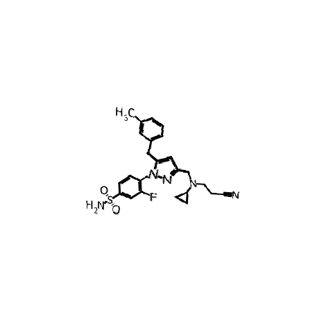 Cc1cccc(Cc2cc(CN(CCC#N)C3CC3)nn2-c2ccc(S(N)(=O)=O)cc2F)c1